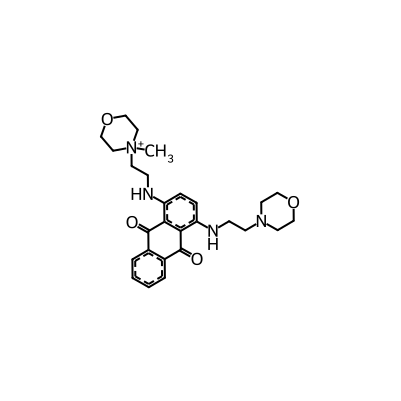 C[N+]1(CCNc2ccc(NCCN3CCOCC3)c3c2C(=O)c2ccccc2C3=O)CCOCC1